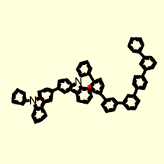 c1ccc(-c2cccc(-c3ccc(-c4cccc(-c5cccc(-c6ccc(-c7ccccc7-n7c8ccccc8c8cc(-c9ccc%10c(c9)c9ccccc9n%10-c9ccccc9)ccc87)cc6)c5)c4)cc3)c2)cc1